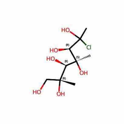 CC(O)(Cl)[C@H](O)[C@@](C)(O)[C@H](O)[C@](C)(O)CO